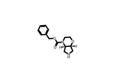 O=C(OCc1ccccc1)N1CCO[C@@H]2CNC[C@@H]21